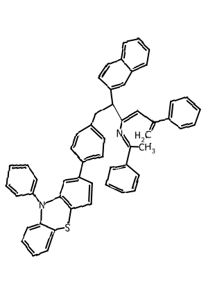 C=C(/C=C(\N=C(/C)c1ccccc1)C(Cc1ccc(-c2ccc3c(c2)N(c2ccccc2)c2ccccc2S3)cc1)c1ccc2ccccc2c1)c1ccccc1